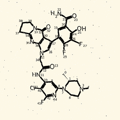 C[C@@H]1CN(C)CCN1c1cc(NC(=O)Cn2cc(-c3cc(C(N)=O)c(O)c(F)c3F)c3c(=O)n4c(nc32)CCC4)c(Cl)c(F)n1